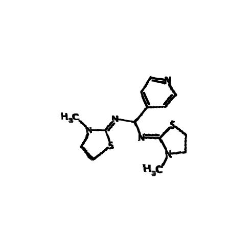 CN1CCSC1=NC(N=C1SCCN1C)c1ccncc1